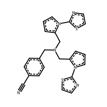 N#Cc1ccc(CN(Cc2cccn2-c2nccs2)Cc2cccn2-c2nccs2)cc1